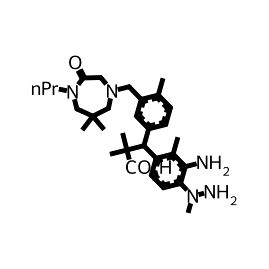 CCCN1CC(C)(C)CN(Cc2cc(C(c3ccc(N(C)N)c(N)c3C)C(C)(C)C(=O)O)ccc2C)CC1=O